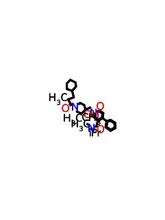 CC(C)N(C)C(=O)c1cn(C[C@]2(O)CCN(C(=O)[C@H](C)CC3CCCCC3)CC2(C)C)c(=O)cc1-c1ccccc1